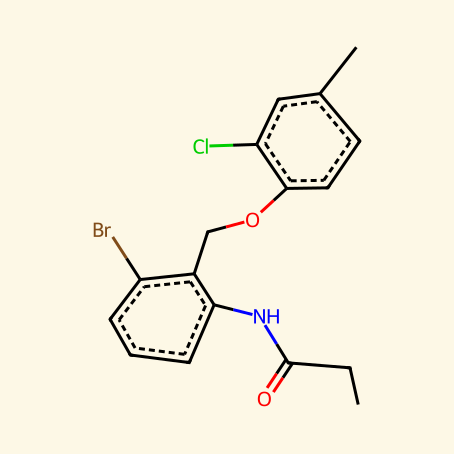 CCC(=O)Nc1cccc(Br)c1COc1ccc(C)cc1Cl